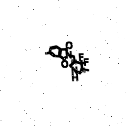 Cc1ccc2c(c1)C(=O)N(C[C@@H]1CNC[C@H](C)C1(F)F)C2=O